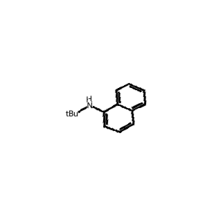 CC(C)(C)Nc1cccc2ccccc12